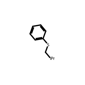 [CH2]C(C)CSc1ccccc1